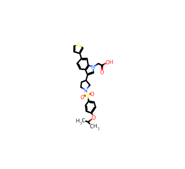 CC(C)Oc1ccc(S(=O)(=O)N2CCC(c3cn(CC(=O)O)c4cc(-c5ccsc5)ccc34)C2)cc1